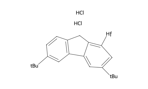 CC(C)(C)c1ccc2c(c1)-c1cc(C(C)(C)C)c[c]([Hf])c1C2.Cl.Cl